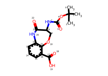 CC(C)(C)OC(=O)NC1COc2c(cccc2C(=O)O)NC1=O